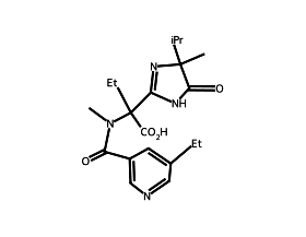 CCc1cncc(C(=O)N(C)C(CC)(C(=O)O)C2=NC(C)(C(C)C)C(=O)N2)c1